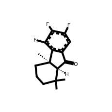 CC1(C)CCC[C@@]2(C)c3c(cc(F)c(F)c3F)C(=O)[C@@H]12